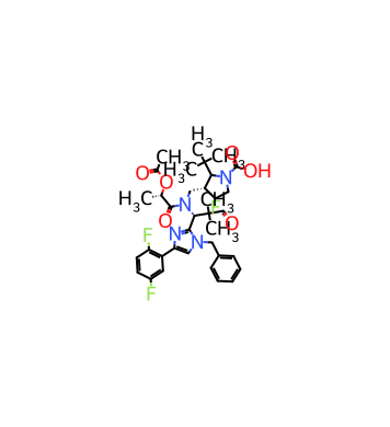 CC(=O)O[C@@H](C)C(=O)N(C[C@@H]1C(C(C)(C)C)N(C(=O)O)C[C@@H]1F)[C@@H](c1nc(-c2cc(F)ccc2F)cn1Cc1ccccc1)C(C)(C)C=O